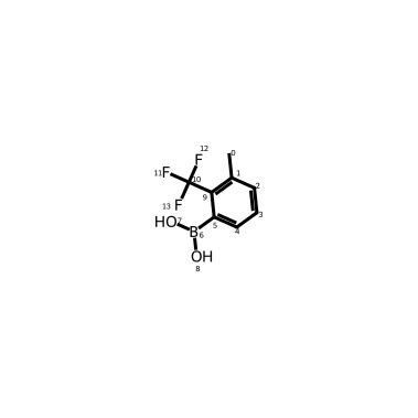 Cc1cccc(B(O)O)c1C(F)(F)F